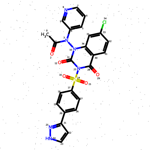 CC(=O)N(c1cccnc1)n1c(=O)n(S(=O)(=O)c2ccc(-c3cc[nH]n3)cc2)c(=O)c2ccc(Cl)cc21